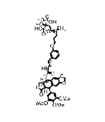 COc1cc([C@@H]2c3cc4c(cc3[C@H](OC(=O)N/N=C/c3cccc(OCCCN(C)CCC(O)(P(=O)(O)O)P(=O)(O)O)c3)[C@H]3COC(=O)[C@H]23)OCO4)cc(OC)c1OC